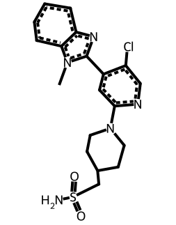 Cn1c(-c2cc(N3CCC(CS(N)(=O)=O)CC3)ncc2Cl)nc2ccccc21